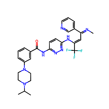 C/N=C(\C=C(/Nc1ccc(NC(=O)c2cccc(N3CCN(C(C)C)CC3)c2)nn1)C(F)(F)F)c1cccnc1